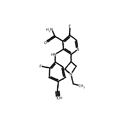 C#Cc1ccc(Nc2c(C3CN(CC)C3)ncc(F)c2C(N)=O)c(F)c1